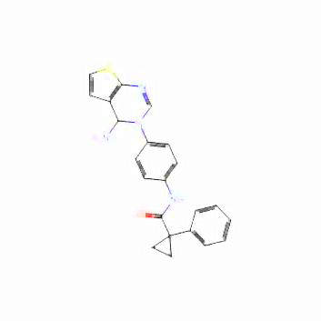 NC1c2ccsc2N=CN1c1ccc(NC(=O)C2(c3ccccc3)CC2)cc1